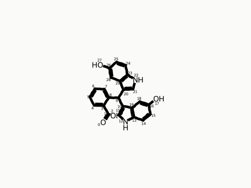 O=C(O)c1ccccc1C(c1c[nH]c2ccc(O)cc12)c1c[nH]c2ccc(O)cc12